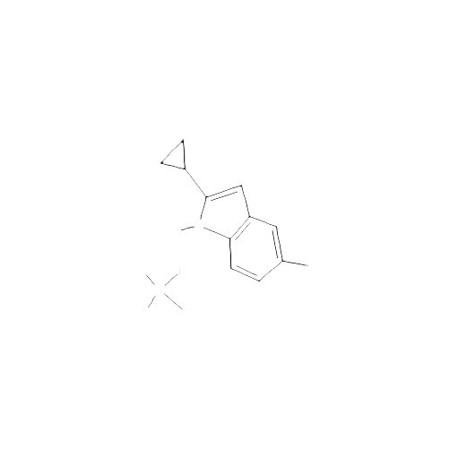 CCc1ccc2c(c1)cc(C1CC1)[s+]2C(F)(F)F.F[B-](F)(F)F